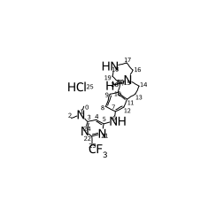 CN(C)c1cc(Nc2ccc3c(c2)CCN2CCNC[C@@H]32)nc(C(F)(F)F)n1.Cl